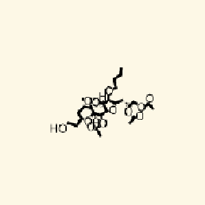 CCCCOC1C(C[C@H](COC(C)=O)OC(C)=O)OC2[C@H]1OC1(OC)CCC(CCO)O[C@@H]1[C@H]2OC(C)=O